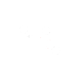 c1ccc(C[SiH2]OCC(Oc2ccccc2)Oc2ccccc2)cc1